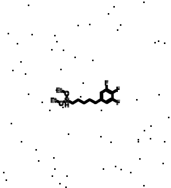 CCO[SiH](CCCCCc1cc(F)c(F)c(F)c1)OCC